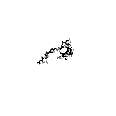 CCC(=O)/N=C1\[C@H](C)C[C@@]2(C)OC/C(=N/OCc3ccc(-c4nc(NC(=O)[C@@H](N)CC(C)C)cs4)cn3)CC[C@H]([C@H]1C)[C@](C)(O)[C@@H](CC)OC(=O)[C@@](C)(F)C(=O)[C@H](C)[C@H]2O[C@@H]1O[C@H](C)C[C@H](N(C)C)[C@H]1O